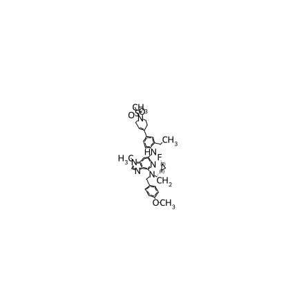 C=C([C@H]1C[C@H]1F)N(Cc1ccc(OC)cc1)c1nc(Nc2ccc(C3=CCN(S(C)(=O)=O)CC3)cc2CC)cc2c1ncn2C